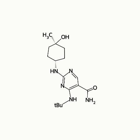 CC(C)(C)Nc1nc(N[C@H]2CC[C@](C)(O)CC2)ncc1C(N)=O